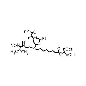 CCCCCCCCC(CCCCCCCC)OC(=O)CCCCCCCN(CCCNC(=NC#N)N(C)C)C(CCCC(=O)CCC)OC(CC)CCCCCCCC